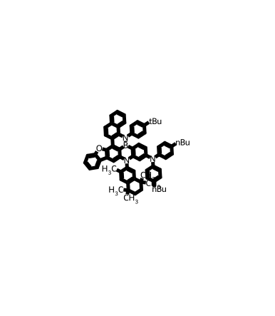 CCCCc1ccc(N(c2ccc(CCCC)cc2)c2ccc3c(c2)N(c2cc4c(cc2C)C(C)(C)CCC4(C)C)c2cc4c(oc5ccccc54)c4c2B3N(c2ccc(C(C)(C)C)cc2)c2c-4ccc3ccccc23)cc1